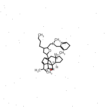 CCCCC1CC(C23C[C@@H]4[C@H](C)CC[C@H]4C4(C=O)CC2C=C(C(C)C)C34C(=O)O)OC1CN(C)CC1=CCCC=N1